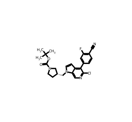 CC(C)(C)OC(=O)N1CC[C@@H](Cn2ccc3c(-c4ccc(C#N)c(F)c4)c(Cl)ncc32)C1